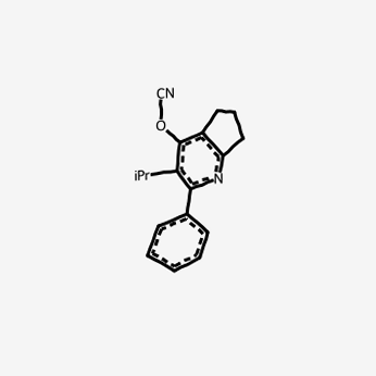 CC(C)c1c(-c2ccccc2)nc2c(c1OC#N)CCC2